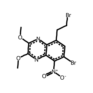 COc1nc2c(CCBr)cc(Br)c([N+](=O)[O-])c2nc1OC